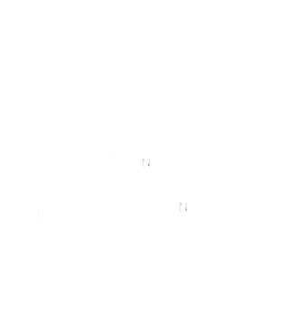 Ic1cccc2c1sc1nc3ccccc3n12